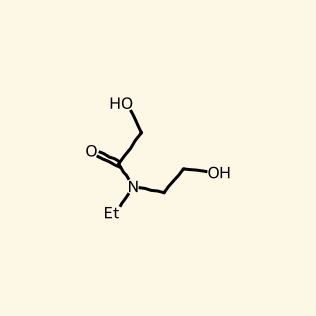 CCN(CCO)C(=O)CO